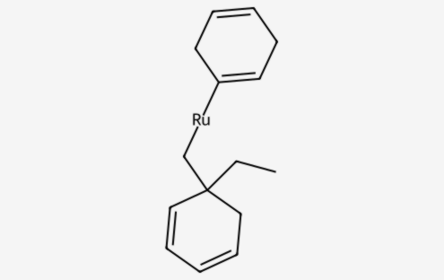 CCC1([CH2][Ru][C]2=CCC=CC2)C=CC=CC1